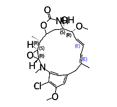 COc1cc2cc(c1Cl)N(C)[C@@H]1O[C@H]1[C@H](C)C1C[C@@](O)(NC(=O)O1)[C@H](OC)/C=C/C=C(\C)C2